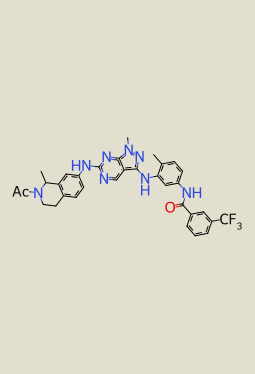 CC(=O)N1CCc2ccc(Nc3ncc4c(Nc5cc(NC(=O)c6cccc(C(F)(F)F)c6)ccc5C)nn(C)c4n3)cc2C1C